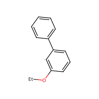 CCOc1[c]c(-c2ccccc2)ccc1